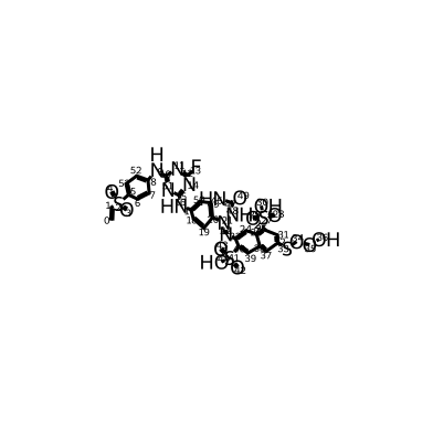 C=CS(=O)(=O)c1ccc(Nc2nc(F)nc(Nc3ccc(N=Nc4cc5c(S(=O)(=O)O)cc(SOOO)cc5cc4S(=O)(=O)O)c(NC(N)=O)c3)n2)cc1